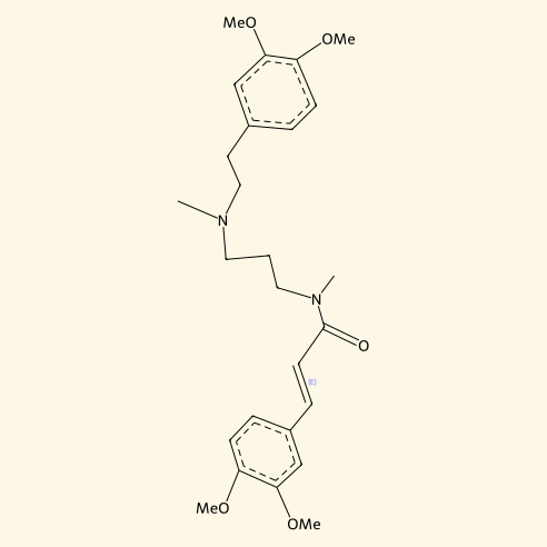 COc1ccc(/C=C/C(=O)N(C)CCCN(C)CCc2ccc(OC)c(OC)c2)cc1OC